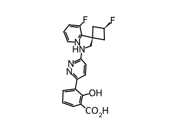 O=C(O)c1cccc(-c2ccc(NC[C@]3(c4ncccc4F)C[C@H](F)C3)nn2)c1O